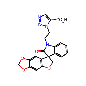 O=C(O)c1cnnn1CCN1C(=O)C2(COc3cc4c(cc32)OCO4)c2ccccc21